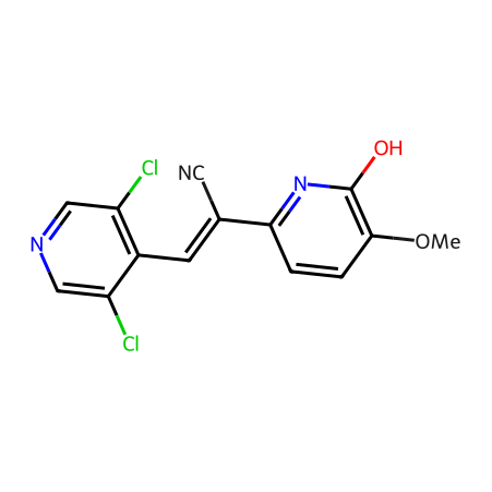 COc1ccc(C(C#N)=Cc2c(Cl)cncc2Cl)nc1O